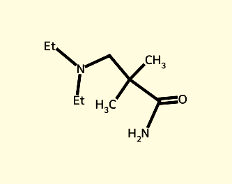 CCN(CC)CC(C)(C)C(N)=O